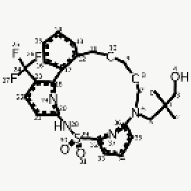 CC(C)(CO)CN1CCCCCc2ccccc2-c2nc(ccc2C(F)(F)F)NS(=O)(=O)c2cccc1n2